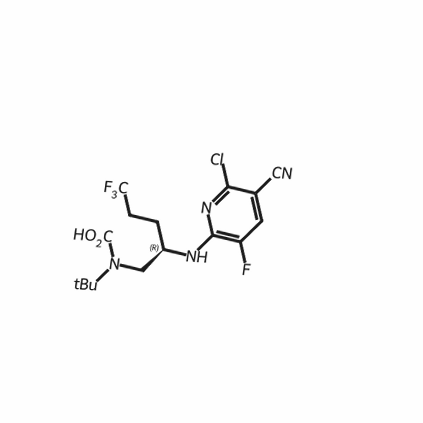 CC(C)(C)N(C[C@@H](CCC(F)(F)F)Nc1nc(Cl)c(C#N)cc1F)C(=O)O